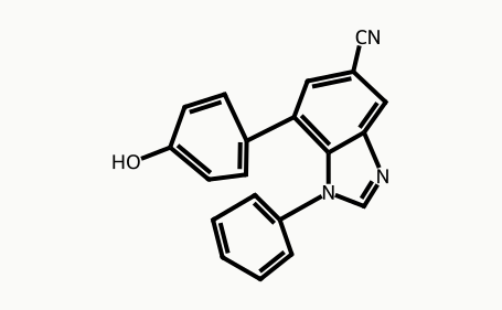 N#Cc1cc(-c2ccc(O)cc2)c2c(c1)ncn2-c1ccccc1